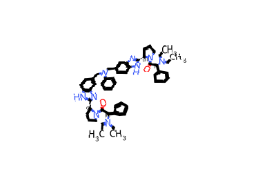 CCN(CC)[C@@H](C(=O)N1CCC[C@H]1c1nc2cc(CN(Cc3ccc4[nH]c([C@@H]5CCCN5C(=O)[C@@H](c5ccccc5)N(CC)CC)nc4c3)c3ccccc3)ccc2[nH]1)c1ccccc1